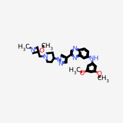 COc1cc(Nc2ccc3ncc(-c4cnn(C5CCN(CC6(OC)CN(C)C6)CC5)c4)nc3c2)cc(OC)c1